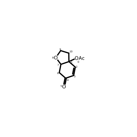 CC(=O)OC12C=CC(=O)CC1OCC2